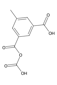 Cc1cc(C(=O)O)cc(C(=O)OC(=O)O)c1